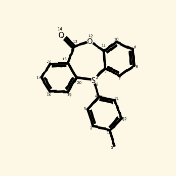 Cc1ccc([S+]2c3ccccc3OC(=O)c3ccccc32)cc1